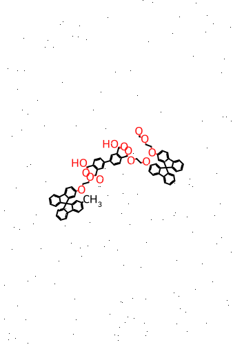 Cc1ccc2c(c1)C1(c3ccccc3-2)c2ccccc2-c2ccc(OCCOC(=O)c3cc(-c4ccc(C(=O)OCCOc5ccc6c(c5)C5(c7ccccc7-c7ccc(OCCOC=O)cc75)c5ccccc5-6)c(C(=O)O)c4)ccc3C(=O)O)cc21